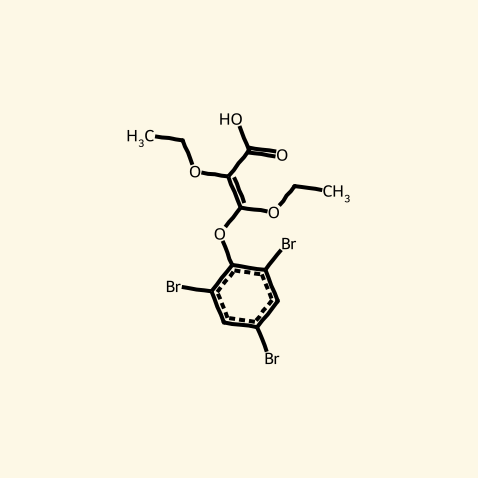 CCOC(Oc1c(Br)cc(Br)cc1Br)=C(OCC)C(=O)O